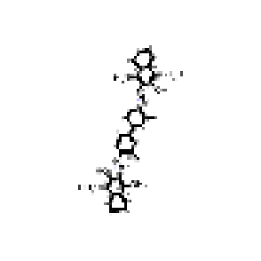 Cc1cc(-c2ccc(/N=N/c3c(O)c(S(=O)(=O)O)c4ccccc4c3N)c(C)c2)ccc1/N=N/c1c(O)c(S(=O)(=O)O)c2ccccc2c1N